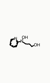 OCCCN(O)c1ccccn1